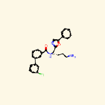 NCCC[C@H](NC(=O)c1cccc(-c2cccc(Cl)c2)c1)c1ncc(-c2ccccc2)o1